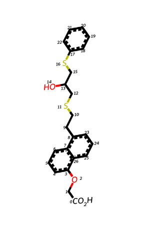 O=C(O)COc1cccc2c(CCSCC(O)CSc3ccccc3)cccc12